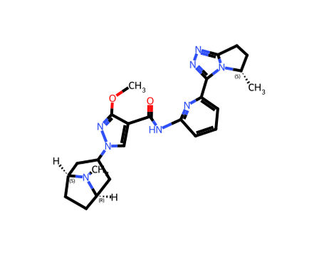 COc1nn(C2C[C@H]3CC[C@@H](C2)N3C)cc1C(=O)Nc1cccc(-c2nnc3n2[C@@H](C)CC3)n1